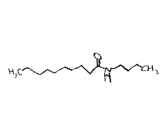 CCCCCCCCCC(=O)NCCCC